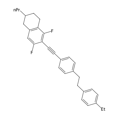 CCCC1CCc2c(cc(F)c(C#Cc3ccc(CCc4ccc(CC)cc4)cc3)c2F)C1